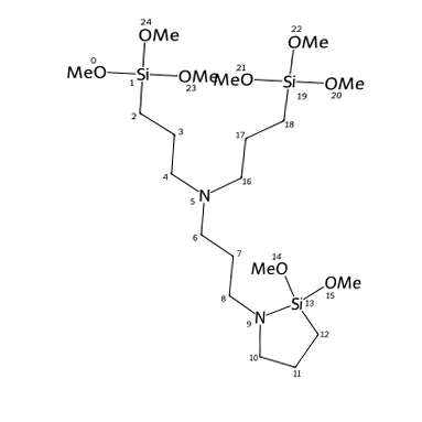 CO[Si](CCCN(CCCN1CCC[Si]1(OC)OC)CCC[Si](OC)(OC)OC)(OC)OC